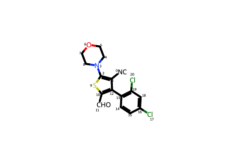 [C-]#[N+]c1c(N2CCOCC2)sc(C=O)c1-c1ccc(Cl)cc1Cl